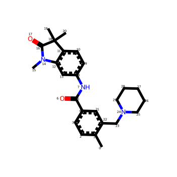 Cc1ccc(C(=O)Nc2ccc3c(c2)N(C)C(=O)C3(C)C)cc1CN1CCCCC1